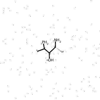 CC(P)C(O)[C@@H](C)N